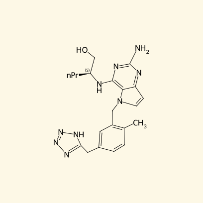 CCC[C@@H](CO)Nc1nc(N)nc2ccn(Cc3cc(Cc4nnn[nH]4)ccc3C)c12